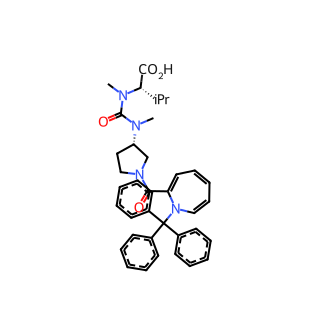 CC(C)[C@@H](C(=O)O)N(C)C(=O)N(C)[C@H]1CCN(C(=O)C2=CC=CC=CN2C(c2ccccc2)(c2ccccc2)c2ccccc2)C1